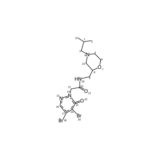 CC(C)CN1CCOC(CNC(=O)Cn2ncc(Br)c(Br)c2=O)C1